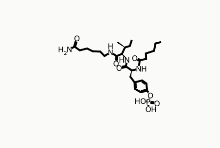 CCCCCC(=O)N[C@@H](Cc1ccc(OP(=O)(O)O)cc1)C(=O)N[C@@H](C(=O)NCCCCCC(N)=O)[C@@H](C)CC